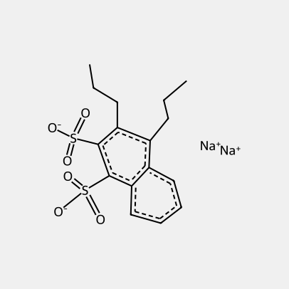 CCCc1c(S(=O)(=O)[O-])c(S(=O)(=O)[O-])c2ccccc2c1CCC.[Na+].[Na+]